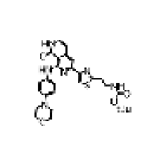 CC(C)(C)OC(=O)NCCc1nc(-c2cc3cc[nH]c(=O)c3c(Nc3ccc(N4CCOCC4)cc3)n2)cs1